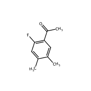 CC(=O)c1cc(C)c(C)cc1F